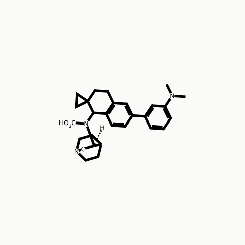 CN(C)c1cccc(-c2ccc3c(c2)CCC2(CC2)C3N(C(=O)O)[C@@H]2CN3CCC2CC3)c1